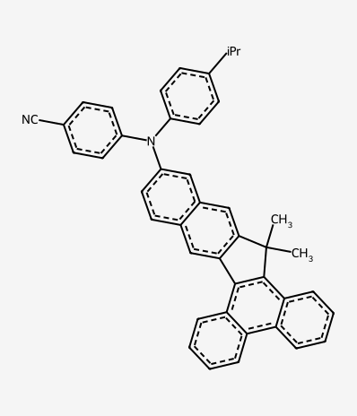 CC(C)c1ccc(N(c2ccc(C#N)cc2)c2ccc3cc4c(cc3c2)C(C)(C)c2c-4c3ccccc3c3ccccc23)cc1